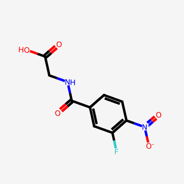 O=C(O)CNC(=O)c1ccc([N+](=O)[O-])c(F)c1